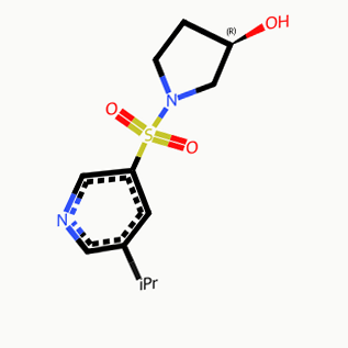 CC(C)c1cncc(S(=O)(=O)N2CC[C@@H](O)C2)c1